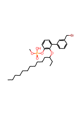 CCCCCCCCCCCC(CC)Oc1c(OP(=O)(O)OC)cccc1-c1cccc(CBr)c1